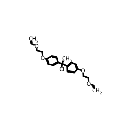 C=COCCOc1ccc(C(C)(C)c2ccc(OCCOC=C)cc2)cc1